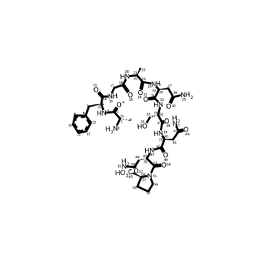 C[C@H](N)C(=O)N[C@@H](Cc1ccccc1)C(=O)NCC(=O)N[C@@H](C)C(=O)N[C@@H](CC(N)=O)C(=O)N[C@@H](CO)C(=O)N[C@@H](CC(N)=O)C(=O)N[C@@H](CC(N)=O)C(=O)N1CCC[C@H]1C(=O)O